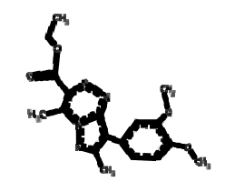 CCOC(=O)c1nnc2c(-c3ccc(OC)c(OC)c3)c(C)nn2c1C